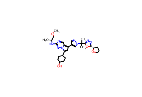 COC[C@H](C)Nc1ncc2c(-c3cnn(C(C)(C)c4nnc([C@@H]5CCCO5)o4)c3)cc(C3CCC(O)CC3)n2n1